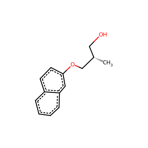 C[C@@H](CO)COc1ccc2ccccc2c1